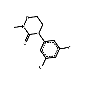 CN1OCCN(c2cc(Cl)cc(Cl)c2)C1=O